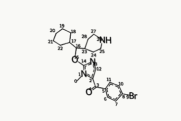 Cn1c(C(=O)c2ccc(Br)cc2)cnc1OC(C1CCCCC1)C1CCNCC1